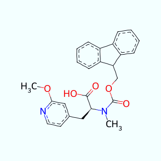 COc1cc(C[C@@H](C(=O)O)N(C)C(=O)OCC2c3ccccc3-c3ccccc32)ccn1